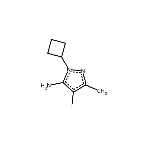 Cc1nn(C2CCC2)c(N)c1I